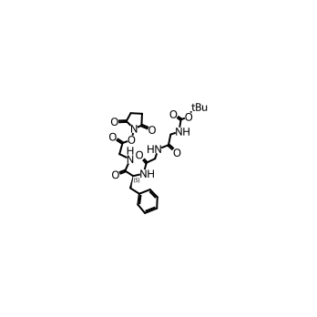 CC(C)(C)OC(=O)NCC(=O)NCC(=O)N[C@@H](Cc1ccccc1)C(=O)NCC(=O)ON1C(=O)CCC1=O